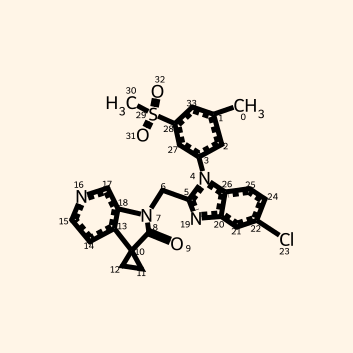 Cc1cc(-n2c(CN3C(=O)C4(CC4)c4ccncc43)nc3cc(Cl)ccc32)cc(S(C)(=O)=O)c1